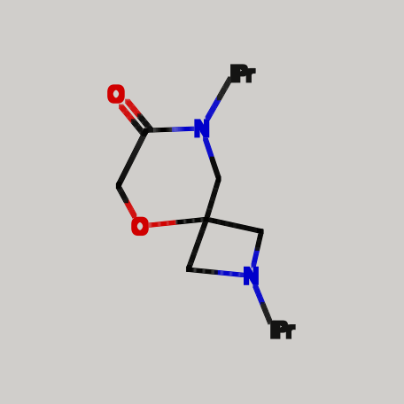 CC(C)N1CC2(C1)CN(C(C)C)C(=O)CO2